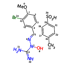 COc1ccc(C=NN(O)C(=N)N)cc1Br.Cc1ccc(S(=O)(=O)O)cc1